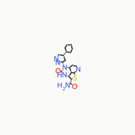 NC(=O)c1sc2nccc3c2c1NC(=O)N3c1cc(-c2ccccc2)cnn1